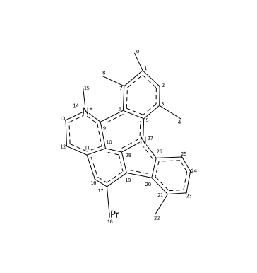 Cc1cc(C)c2c(c1C)c1c3c(cc[n+]1C)cc(C(C)C)c1c4c(C)cccc4n2c13